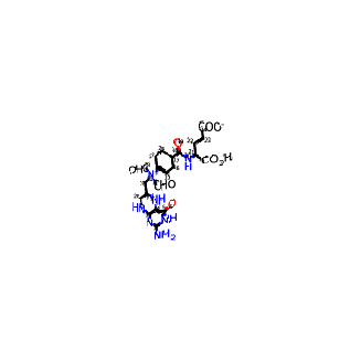 Nc1nc2c(c(=O)[nH]1)NC(C[N+](C=O)(C=O)C1=CCC(C(=O)NC(CCC(=O)[O-])C(=O)O)CC1)CN2